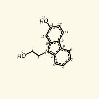 OCCn1c2ccccc2c2ccc(O)cc21